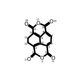 O=C1OC(=O)c2ccc3c4c2=C1CCC=4C(=O)OC3=O